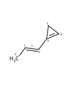 C/C=[C]/C1=CC1